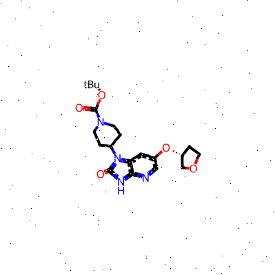 CC(C)(C)OC(=O)N1CCC(n2c(=O)[nH]c3ncc(O[C@@H]4CCOC4)cc32)CC1